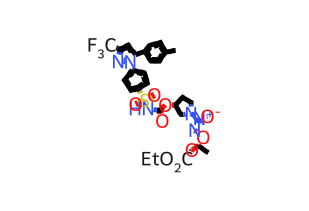 CCOC(=O)OC(C)ON=[N+]([O-])N1CCC(OC(=O)NS(=O)(=O)c2ccc(-n3nc(C(F)(F)F)cc3-c3ccc(C)cc3)cc2)C1